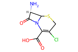 N[C@H]1C(=O)N2C(C(=O)O)=C(Cl)CSC12